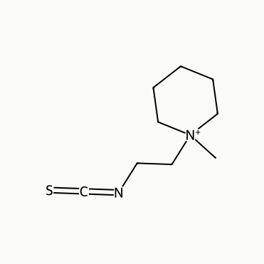 C[N+]1(CCN=C=S)CCCCC1